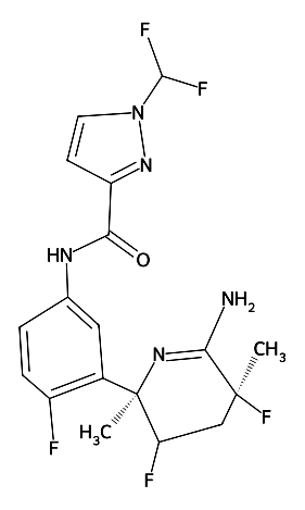 C[C@]1(F)CC(F)[C@@](C)(c2cc(NC(=O)c3ccn(C(F)F)n3)ccc2F)N=C1N